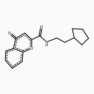 O=C(NCCC1CCCC1)c1cc(=O)c2ccccc2o1